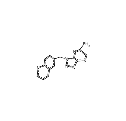 Bc1cnc2nnn(Cc3ccc4ncccc4c3)c2n1